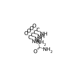 N=C=O.N=C=O.N=C=O.N=C=O.NC(N)=O